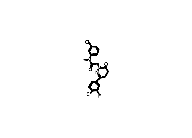 CN(C(=O)CN1N=C(c2ccc(Cl)c(F)c2)CCC1=O)c1cccc(Cl)c1